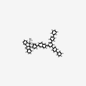 CC1(C)c2ccccc2-c2nc3ccccc3c(-c3ccc(-c4ccc5cc(-c6cc(-c7ccc(-c8ccccc8)cc7)cc(-c7ccc(-c8ccccc8)cc7)n6)ccc5c4)cc3)c21